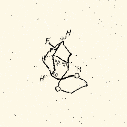 FC1(F)[C@H]2CC[C@H]3[C@@H]1[C@@H](C2)C31OCCO1